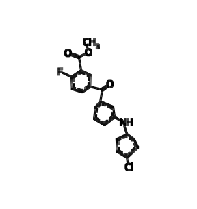 COC(=O)c1cc(C(=O)c2cccc(Nc3ccc(Cl)cc3)c2)ccc1F